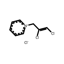 ClC=C(Cl)C[n+]1ccccc1.[Cl-]